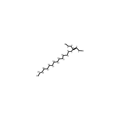 CCC=C(CCC)CCCCCCCCCCCCCCC